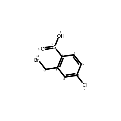 O=S(O)c1ccc(Cl)cc1CBr